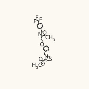 COC(=O)[C@@H]1CSCN1Cc1cccc(OCCc2nc(-c3ccc(C(F)(F)F)cc3)oc2C)c1